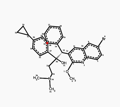 COc1nc2ccc(Br)cc2cc1[C@@H](c1ccccc1)C(O)(CCN(C)C)c1ccc(C2CC2)cc1